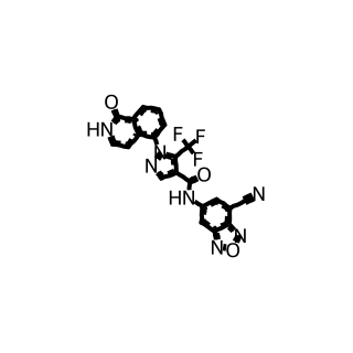 N#Cc1cc(NC(=O)c2cnn(-c3cccc4c(=O)[nH]ccc34)c2C(F)(F)F)cc2nonc12